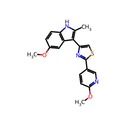 COc1ccc2[nH]c(C)c(-c3csc(-c4ccc(OC)nc4)n3)c2c1